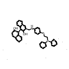 Oc1ccc2ccccc2c1-c1c(O)c(CNc2ccc(SCCP(c3ccccc3)c3ccccc3)cc2)cc2ccccc12